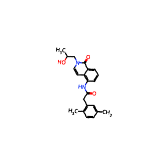 Cc1ccc(C)c(CC(=O)Nc2cccc3c(=O)n(CC(C)O)ccc23)c1